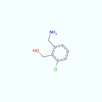 NCc1cccc(Cl)c1CO